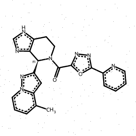 Cc1cccn2nc([C@H]3c4nc[nH]c4CCN3C(=O)c3nnc(-c4ccccn4)o3)cc12